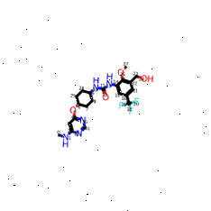 CNc1cc(OC2CCC(NC(=O)Nc3cc(C(F)(F)F)cc(CO)c3OC)CC2)ncn1